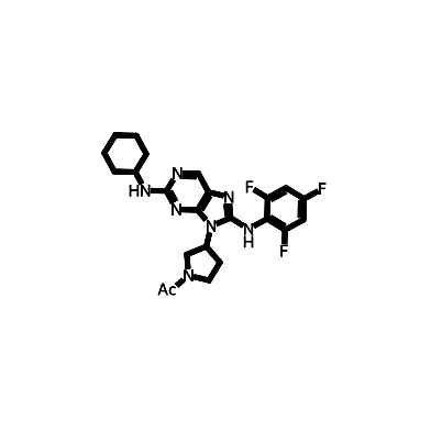 CC(=O)N1CCC(n2c(Nc3c(F)cc(F)cc3F)nc3cnc(NC4CCCCC4)nc32)C1